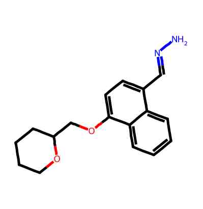 NN=Cc1ccc(OCC2CCCCO2)c2ccccc12